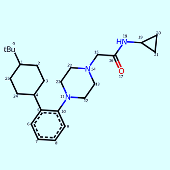 CC(C)(C)C1CCC(c2ccccc2N2CCN(CC(=O)NC3CC3)CC2)CC1